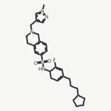 Cn1cc(CN2CCc3cc(S(=O)(=O)NC4CC=C(CCCC5CCCC5)C=C4F)ccc3C2)cn1